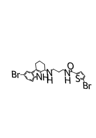 O=C(NCCCNC1CCCc2c1[nH]c1ccc(Br)cc21)c1ccc(Br)s1